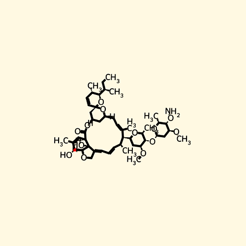 CC[C@@H](C)[C@H]1O[C@]2(C=C[C@@H]1C)C[C@@H]1C[C@@H](C/C=C(\C)[C@@H](C3C[C@H](OC)[C@@H](O[C@H]4C[C@H](OC)[C@@H](ON)[C@H](C)O4)[C@H](C)O3)[C@@H](C)/C=C/C=C3\CO[C@@H]4[C@H](O)C(C)=C[C@@H](C(=O)O1)[C@]34O)O2